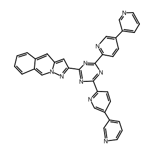 c1cncc(-c2ccc(-c3nc(-c4ccc(-c5cccnc5)cn4)nc(-c4cc5cc6ccccc6cn5n4)n3)nc2)c1